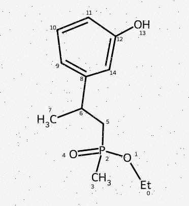 CCOP(C)(=O)CC(C)c1cccc(O)c1